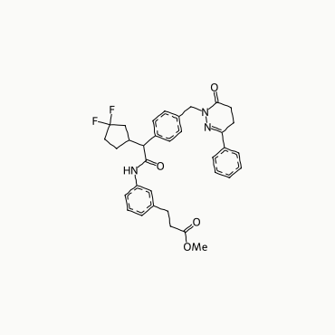 COC(=O)CCc1cccc(NC(=O)C(c2ccc(CN3N=C(c4ccccc4)CCC3=O)cc2)C2CCC(F)(F)C2)c1